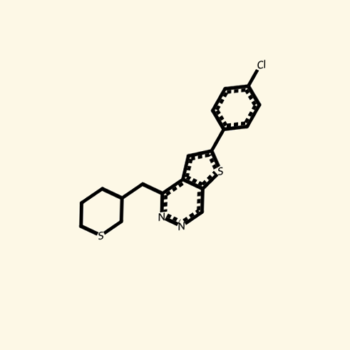 Clc1ccc(-c2cc3c(CC4CCCSC4)nncc3s2)cc1